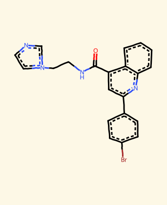 O=C(NCCn1ccnc1)c1cc(-c2ccc(Br)cc2)nc2ccccc12